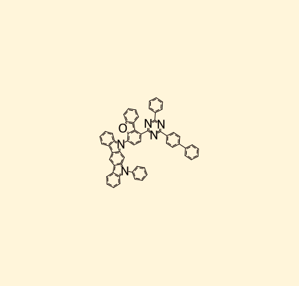 c1ccc(-c2ccc(-c3nc(-c4ccccc4)nc(-c4ccc(-n5c6ccccc6c6cc7c8ccccc8n(-c8ccccc8)c7cc65)c5oc6ccccc6c45)n3)cc2)cc1